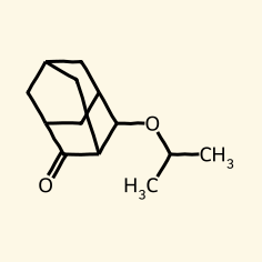 CC(C)OC1C2CC3CC(C2)C(=O)C1C3